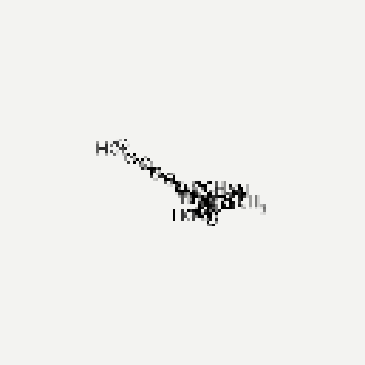 Cc1ncsc1-c1ccc(CNC(=O)[C@@H]2C[C@@H](O)CN2C(=O)[C@@H](NC(=O)CCOCCOCCOCCOCCOCCC(=O)O)C(C)(C)C)cc1